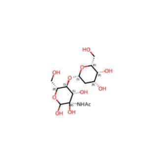 CC(=O)N[C@]1(O)C(O)O[C@H](CO)[C@@H](O[C@H]2C[C@@H](O)[C@@H](O)[C@@H](CO)O2)[C@@H]1O